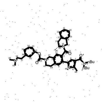 CCCCN(CCCC)C(=O)c1cc(-c2cc3c(cc2C(=O)N2Cc4ccccc4C[C@H]2C)CN(C(=O)Oc2cccc(CCN(C)C)c2)CC3)n(C)c1C